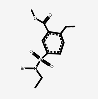 CCc1ccc(S(=O)(=O)N(Br)CC)cc1C(=O)OC